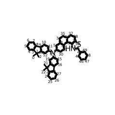 CC1(C)c2ccccc2-c2ccc(N(c3ccc4c(c3)C(C)(C)c3ccccc3-4)c3ccc4c(ccc5ccc6c(c54)NC(c4ccccc4)S6)c3)cc21